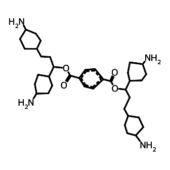 NC1CCC(CCC(OC(=O)c2ccc(C(=O)OC(CCC3CCC(N)CC3)C3CCC(N)CC3)cc2)C2CCC(N)CC2)CC1